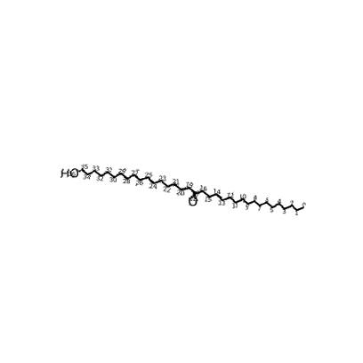 CCCCCCCCCCCCCCCCCC(=O)CCCCCCCCCCCCCCCCCO